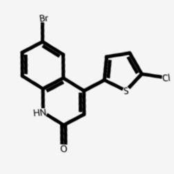 O=c1cc(-c2ccc(Cl)s2)c2cc(Br)ccc2[nH]1